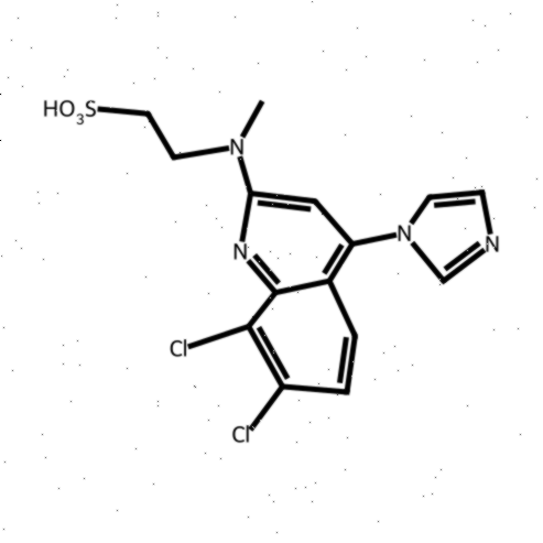 CN(CCS(=O)(=O)O)c1cc(-n2ccnc2)c2ccc(Cl)c(Cl)c2n1